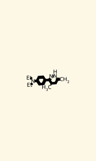 C=C1C[C@@H](C)C(c2ccc(N(CC)CC)cc2)=NN1